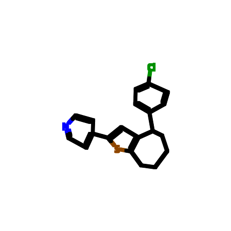 Clc1ccc(C2CCCCc3sc(-c4ccncc4)cc32)cc1